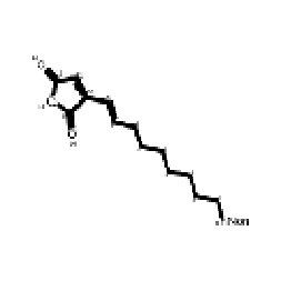 CCCCCCCCCCCCCCCCC=CC1=CC(=O)OC1=O